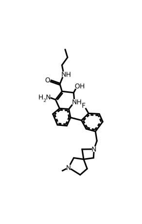 CCCNC(=O)C1=C(N)c2cccc(-c3cc(CN4CC5(CCN(C)C5)C4)ccc3F)c2NC1O